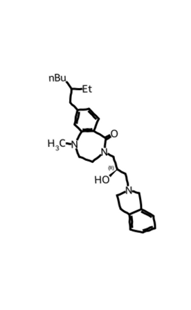 CCCCC(CC)Cc1ccc2c(c1)N(C)CCN(C[C@H](O)CN1CCc3ccccc3C1)C2=O